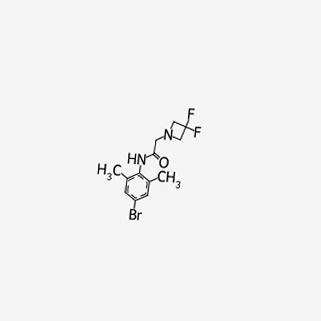 Cc1cc(Br)cc(C)c1NC(=O)CN1CC(F)(F)C1